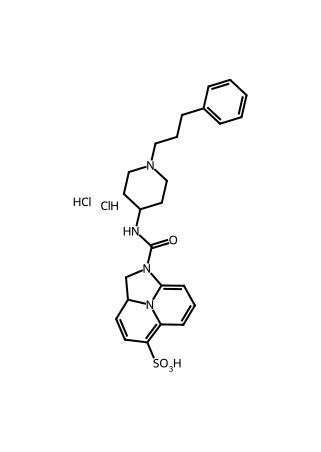 Cl.Cl.O=C(NC1CCN(CCCc2ccccc2)CC1)N1CC2C=CC(S(=O)(=O)O)=C3C=CC=C1N32